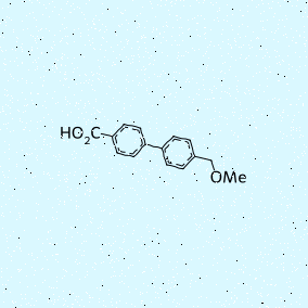 COCc1ccc(-c2ccc(C(=O)O)cc2)cc1